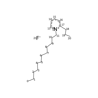 CCCCCCCCCCCC[n+]1ccccc1CCC.[F-]